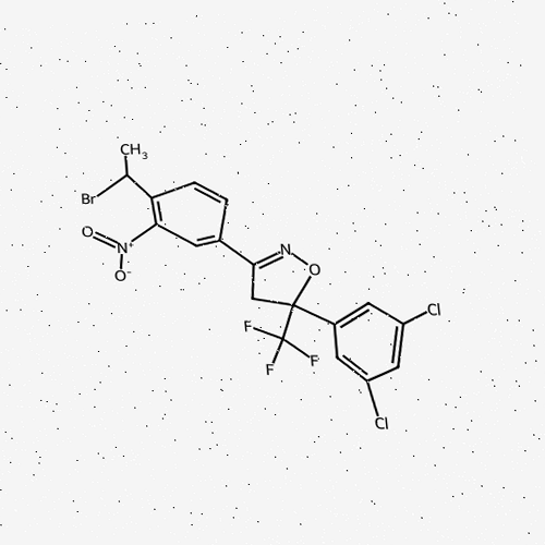 CC(Br)c1ccc(C2=NOC(c3cc(Cl)cc(Cl)c3)(C(F)(F)F)C2)cc1[N+](=O)[O-]